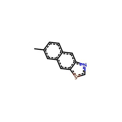 Cc1ccc2cc3ncsc3cc2c1